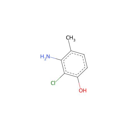 Cc1ccc(O)c(Cl)c1N